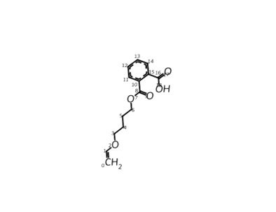 C=COCCCCOC(=O)c1ccccc1C(=O)O